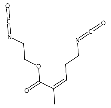 CC(=CCCN=C=O)C(=O)OCCN=C=O